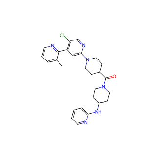 Cc1cccnc1-c1cc(N2CCC(C(=O)N3CCC(Nc4ccccn4)CC3)CC2)ncc1Cl